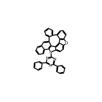 c1ccc(-c2nc(-c3ccccc3)nc(-n3c4ccc5oc6cccc7c8ccccc8c8cc9ccccc9c3c8c4c5c67)n2)cc1